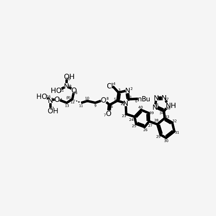 CCCCc1nc(Cl)c(C(=O)OCCC[C@H](CON(O)O)ON(O)O)n1Cc1ccc(-c2ccccc2-c2nnn[nH]2)cc1